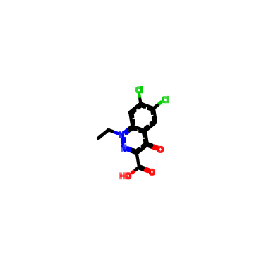 CCn1nc(C(=O)O)c(=O)c2cc(Cl)c(Cl)cc21